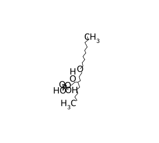 CCCCCCCCCCOCCCC(CCCCCC)C(O)COP(=O)(O)O